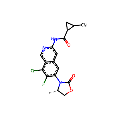 C[C@H]1COC(=O)N1c1cc2cc(NC(=O)C3CC3C#N)ncc2c(Cl)c1F